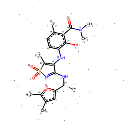 Cc1cc([C@H](NC2=NS(=O)(=O)C(C(F)(F)F)=C2Nc2ccc(C(F)(F)F)c(C(=O)N(C)C)c2O)C(C)C)oc1C